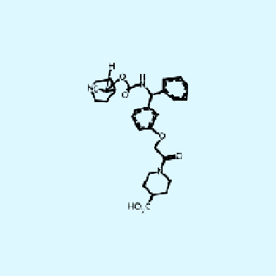 O=C(NC(c1ccccc1)c1cccc(OCC(=O)N2CCC(C(=O)O)CC2)c1)O[C@H]1CN2CCC1CC2